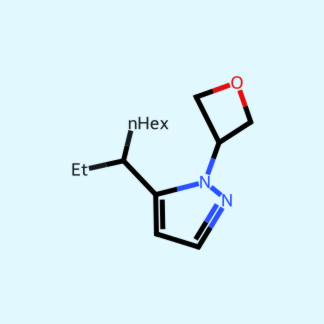 CCCCCCC(CC)c1ccnn1C1COC1